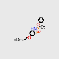 CCCCCCCCCCCCOc1ccc(N[PH](=O)C(CC)Oc2ccccc2)cc1